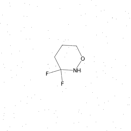 FC1(F)CCCON1